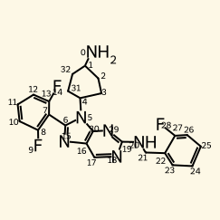 NC1CCC(n2c(-c3c(F)cccc3F)nc3cnc(NCc4ccccc4F)nc32)CC1